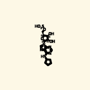 O=S(=O)(O)OC[C@H]1O[C@@H](n2cnc3c(NC4CCCC4)ncnc32)[C@H](O)[C@H]1O